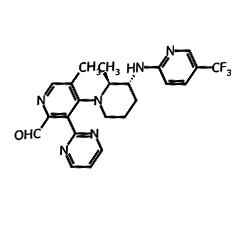 Cc1cnc(C=O)c(-c2ncccn2)c1N1CCC[C@@H](Nc2ccc(C(F)(F)F)cn2)[C@@H]1C